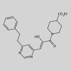 CCOC(=O)C1CCN(C(=O)/C(O)=C/c2cc(CCc3ccccc3)ncn2)CC1